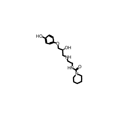 O=C(NCCNC[C@H](O)COc1ccc(O)cc1)N1CCCCC1